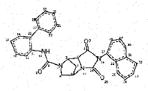 O=C1C2C3CC(CN3C(=O)Nc3ccccc3-c3ccccc3)N2C(=O)N1c1cccc2ccccc12